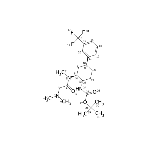 CN(C)CC(=O)N(C)[C@H]1C[C@@H](c2cccc(C(F)(F)F)c2)CC[C@@H]1NC(=O)OC(C)(C)C